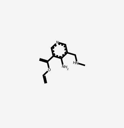 C=COC(=C)c1cncc(CNC)c1N